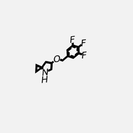 Fc1cc(COC2CNC3(CC3)C2)cc(F)c1F